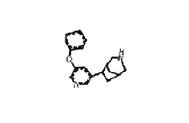 c1ccc(Oc2cncc(C3CC4CNCC3C4)c2)cc1